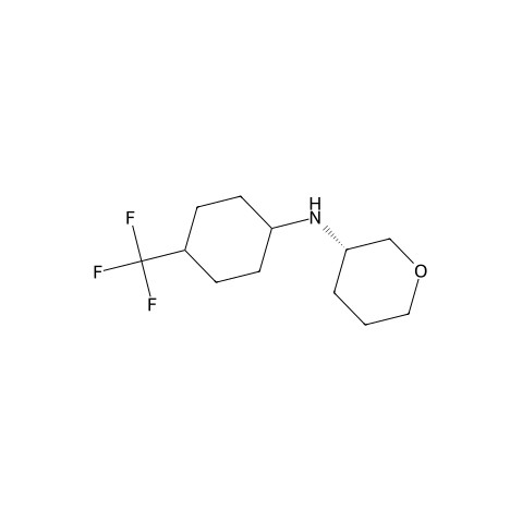 FC(F)(F)C1CCC(N[C@H]2CCCOC2)CC1